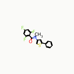 CN(C(=O)c1c(F)cc(F)cc1F)c1csc(-c2ccccc2)c1